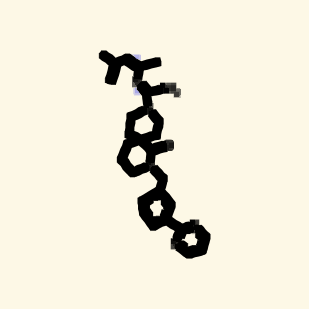 C=C(C)/C=C(C)\N=C(/N)N1CCC2(CCCN(Cc3cccc(-c4ncccn4)c3)C2=O)CC1